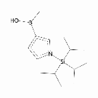 CB(O)c1ccn([Si](C(C)C)(C(C)C)C(C)C)c1